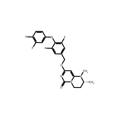 C[C@@H]1CCn2c(cc(OCc3cc(F)c(Oc4ccc(F)c(F)c4)c(F)c3)nc2=O)N1C